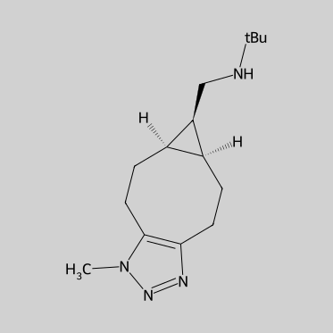 Cn1nnc2c1CC[C@@H]1[C@H](CC2)[C@@H]1CNC(C)(C)C